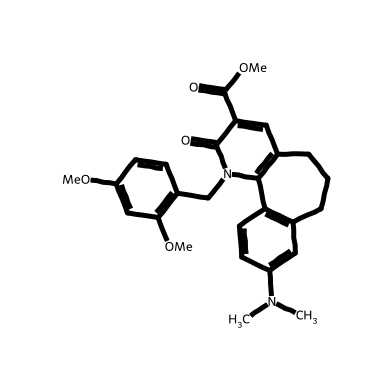 COC(=O)c1cc2c(n(Cc3ccc(OC)cc3OC)c1=O)-c1ccc(N(C)C)cc1CCC2